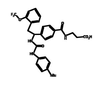 CCCCc1ccc(NC(=O)NC(Cc2ccccc2OC(F)(F)F)c2ccc(C(=O)NCCC(=O)O)cc2)cc1